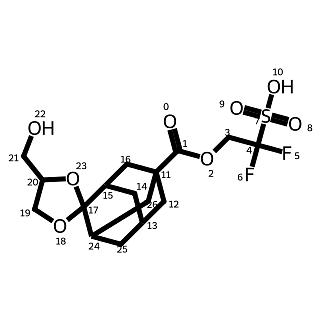 O=C(OCC(F)(F)S(=O)(=O)O)C12CC3CC(C1)C1(OCC(CO)O1)C(C3)C2